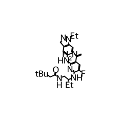 C=C(N)c1cc(F)c(NC(CC)CNC(=O)CC(C)(C)C)nc1Nc1ccc2c(cnn2CC)c1